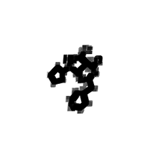 CCc1[nH]n(C2CCCC2)c2nc(Cc3ccncc3)nc(=O)c1-2